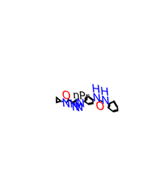 CCCc1c(C(=O)NC2CC2)nnn1-c1ccc(NC(=O)Nc2ccccc2)cc1